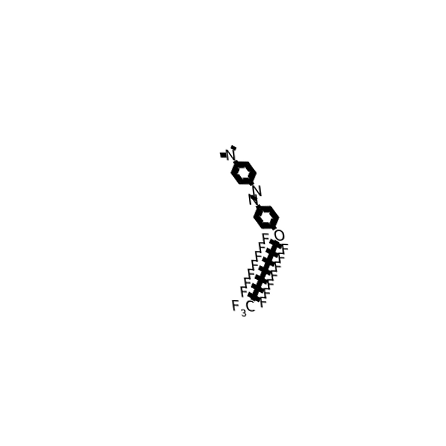 CN(C)c1ccc(N=Nc2ccc(OC(F)(F)C(F)(F)C(F)(F)C(F)(F)C(F)(F)C(F)(F)C(F)(F)C(F)(F)F)cc2)cc1